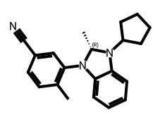 Cc1ccc(C#N)cc1N1c2ccccc2N(C2CCCC2)[C@H]1C